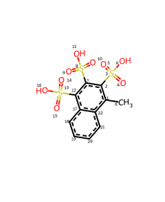 Cc1c(S(=O)(=O)O)c(S(=O)(=O)O)c(S(=O)(=O)O)c2ccccc12